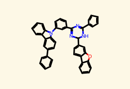 c1ccc(C2=NC(c3cccc(-n4c5ccccc5c5cc(-c6ccccc6)ccc54)c3)=NC(c3ccc4c(c3)oc3ccccc34)N2)cc1